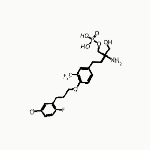 NC(CO)(CCc1ccc(OCCCc2cc(Cl)ccc2F)c(C(F)(F)F)c1)COP(=O)(O)O